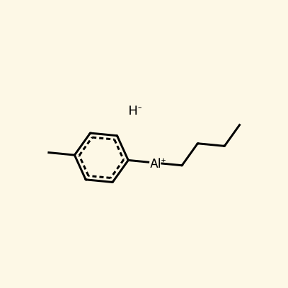 CCC[CH2][Al+][c]1ccc(C)cc1.[H-]